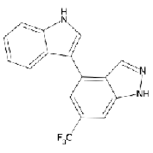 FC(F)(F)c1cc(-c2c[nH]c3ccccc23)c2cn[nH]c2c1